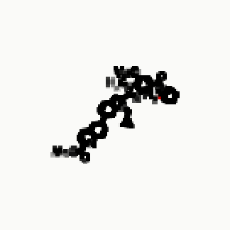 COC(=O)c1ccc2cc(-c3ccc4cc(-c5nc6cc(C(=O)N7CC8CCC7[C@@H]8N)cc(OC)c6n5C)n(CC5CC5)c4c3)ccc2n1